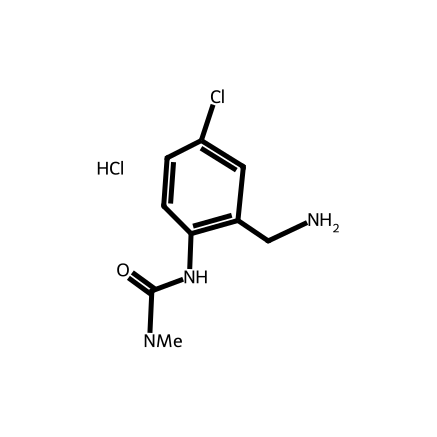 CNC(=O)Nc1ccc(Cl)cc1CN.Cl